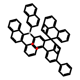 c1ccc(-c2ccc3ccccc3c2N(c2ccc3c(c2)C2(c4ccccc4-c4cccc5cccc2c45)c2cccc4c(-c5ccccc5)ccc-3c24)c2ccc3ccccc3c2)cc1